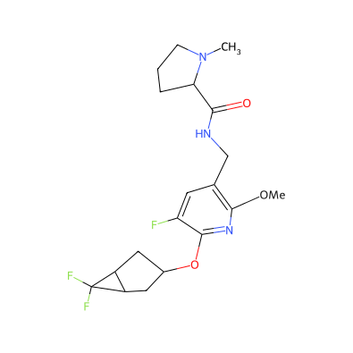 COc1nc(OC2CC3C(C2)C3(F)F)c(F)cc1CNC(=O)C1CCCN1C